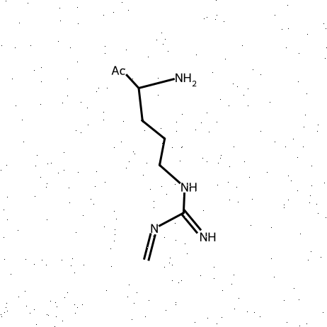 C=NC(=N)NCCCC(N)C(C)=O